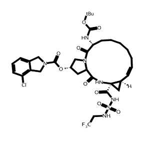 CC(C)(C)OC(=O)N[C@@H]1CCCCC/C=C\[C@H]2C[C@@]2(C(=O)NS(=O)(=O)NCC(F)(F)F)NC(=O)C2C[C@H](OC(=O)N3Cc4cccc(Cl)c4C3)CN2C1=O